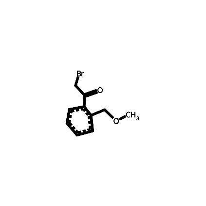 COCc1ccccc1C(=O)CBr